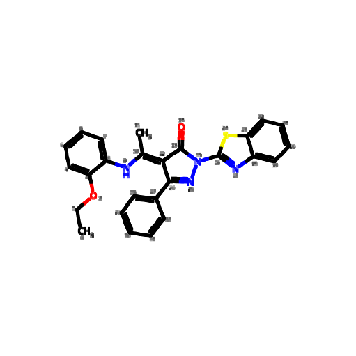 CCOc1ccccc1NC(C)=C1C(=O)N(c2nc3ccccc3s2)N=C1c1ccccc1